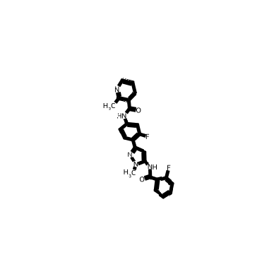 Cc1ncccc1C(=O)Nc1ccc(-c2cc(NC(=O)c3ccccc3F)n(C)n2)c(F)c1